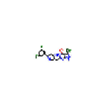 Cn1nc(Br)c2c(=O)[nH]c(Cc3ccc(-c4cc(F)cc(F)c4)nc3)nc21